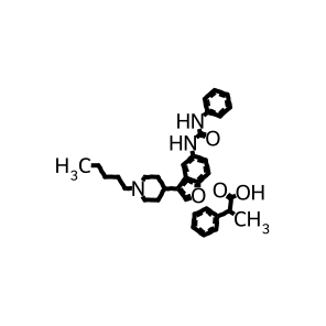 CC(C(=O)O)c1ccccc1.CCCCCN1CCC(c2coc3ccc(NC(=O)Nc4ccccc4)cc23)CC1